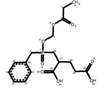 CCC(=O)OCOP(=O)(Cc1ccccc1)CC(CCC(=O)O)C(=O)O